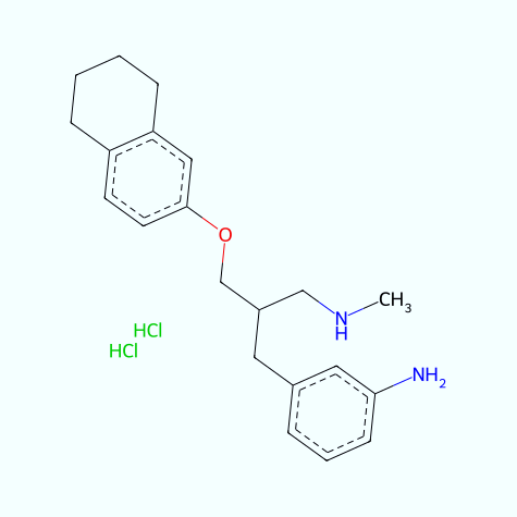 CNCC(COc1ccc2c(c1)CCCC2)Cc1cccc(N)c1.Cl.Cl